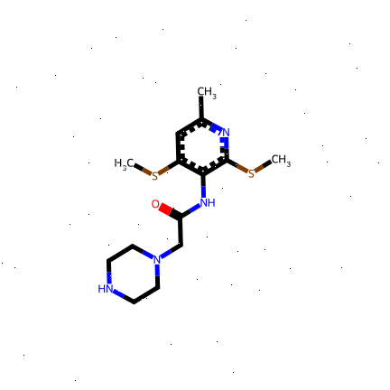 CSc1cc(C)nc(SC)c1NC(=O)CN1CCNCC1